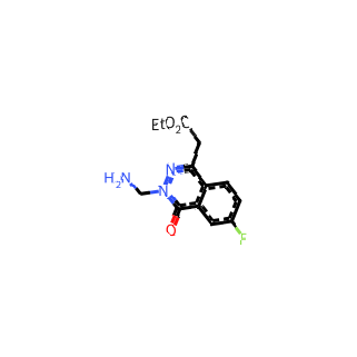 CCOC(=O)Cc1nn(CN)c(=O)c2cc(F)ccc12